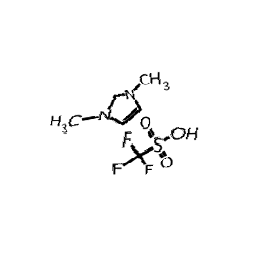 CN1C=CN(C)C1.O=S(=O)(O)C(F)(F)F